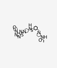 C=CC(=O)N[C@@H]1CCCN(Cc2cccc(SNC3CCN(c4nc5c(N6CCOCC6)ncnc5s4)CC3)c2)C1